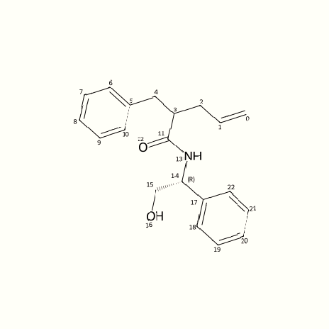 C=CCC(Cc1ccccc1)C(=O)N[C@@H](CO)c1ccccc1